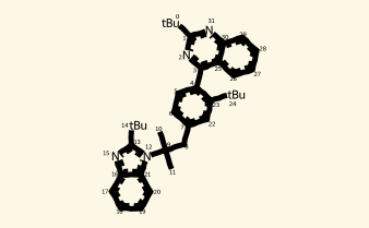 CC(C)(C)c1nc(-c2ccc(CC(C)(C)n3c(C(C)(C)C)nc4ccccc43)cc2C(C)(C)C)c2ccccc2n1